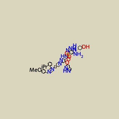 COc1ccc(CN2CCN(C3CC4(CCN(c5cc(Oc6cnc7[nH]ccc7c6)c(C(=O)NS(=O)(=O)c6cc(N)c(NC[C@H]7CC[C@](C)(O)CC7)c7[nH]cnc67)cn5)CC4)C3)C(c3ccccc3C(C)C)C2)cc1